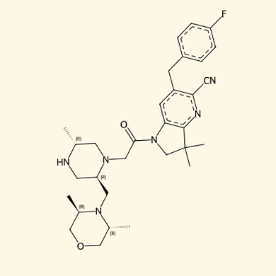 C[C@@H]1CN(CC(=O)N2CC(C)(C)c3nc(C#N)c(Cc4ccc(F)cc4)cc32)[C@@H](CN2[C@H](C)COC[C@H]2C)CN1